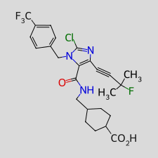 CC(C)(F)C#Cc1nc(Cl)n(Cc2ccc(C(F)(F)F)cc2)c1C(=O)NCC1CCC(C(=O)O)CC1